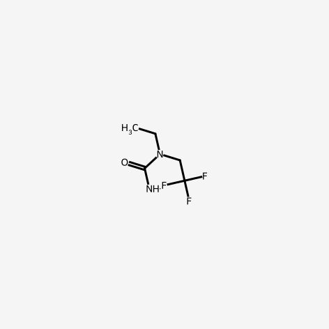 CCN(CC(F)(F)F)C([NH])=O